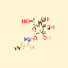 CCCSC(=S)NOC1O[C@H](CO)[C@H](O)[C@H](O)[C@H]1O